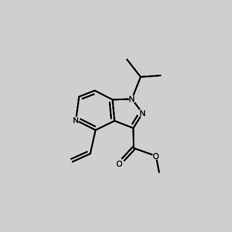 C=Cc1nccc2c1c(C(=O)OC)nn2C(C)C